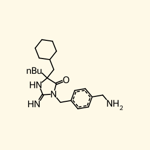 CCCCC1(CC2CCCCC2)NC(=N)N(Cc2ccc(CN)cc2)C1=O